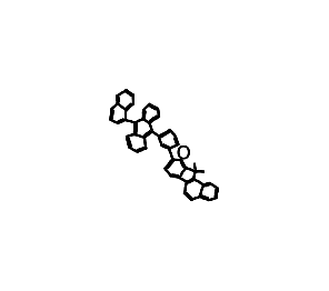 CC1(C)c2c(ccc3ccccc23)-c2ccc3c(oc4ccc(-c5c6ccccc6c(-c6cccc7ccccc67)c6ccccc56)cc43)c21